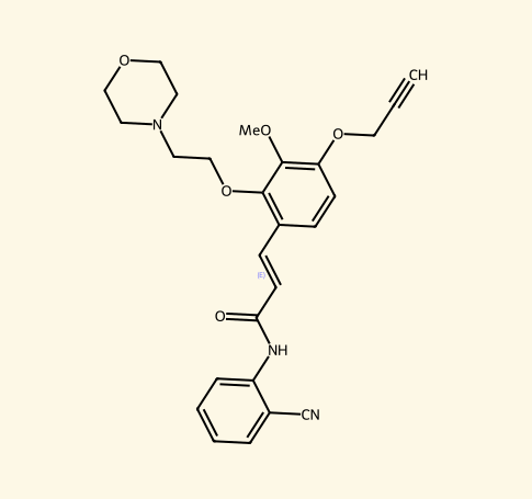 C#CCOc1ccc(/C=C/C(=O)Nc2ccccc2C#N)c(OCCN2CCOCC2)c1OC